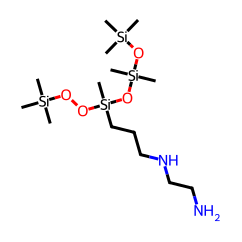 C[Si](C)(C)OO[Si](C)(CCCNCCN)O[Si](C)(C)O[Si](C)(C)C